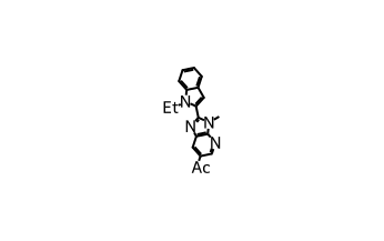 CCn1c(-c2nc3cc(C(C)=O)cnc3n2C)cc2ccccc21